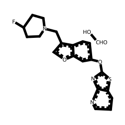 FC1CCN(Cc2coc3cc(Oc4nc5ncccc5s4)ccc23)CC1.O=CO